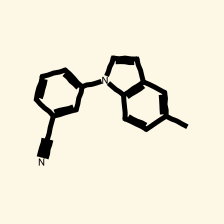 Cc1ccc2c(ccn2-c2cccc(C#N)c2)c1